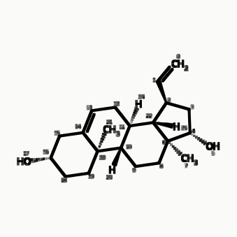 C=C[C@H]1C[C@H](O)[C@@]2(C)CC[C@H]3[C@@H](CC=C4C[C@@H](O)CC[C@@]43C)[C@H]12